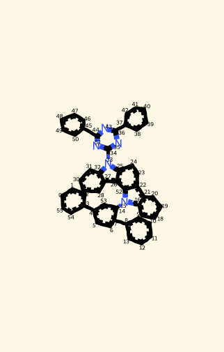 c1ccc(-c2ccc(-c3ccccc3)c(-n3c4ccccc4c4ccc5c(c6ccccc6n5-c5nc(-c6ccccc6)nc(-c6ccccc6)n5)c43)c2)cc1